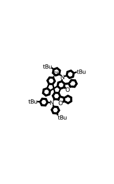 CC(C)(C)c1ccc(N(c2ccc(C(C)(C)C)cc2)c2cc3c(c4c2oc2ccccc24)-c2c(cc(N(c4ccc(C(C)(C)C)cc4)c4ccc(C(C)(C)C)cc4)c4c2oc2ccccc24)C32c3ccccc3-c3ccc(Cl)cc32)cc1